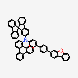 c1ccc2c(c1)-c1ccccc1C21c2ccccc2-c2ccc(N(c3ccc(-c4ccc(-c5ccc6c(c5)oc5ccccc56)cc4)cc3)c3cccc4c5ccccc5c5ccccc5c34)cc21